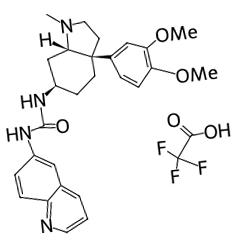 COc1ccc([C@@]23CC[C@@H](NC(=O)Nc4ccc5ncccc5c4)C[C@@H]2N(C)CC3)cc1OC.O=C(O)C(F)(F)F